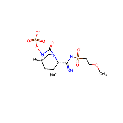 COCCS(=O)(=O)NC(=N)[C@@H]1CC[C@@H]2CN1C(=O)N2OS(=O)(=O)[O-].[Na+]